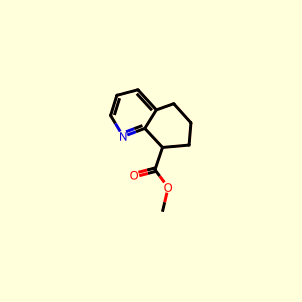 COC(=O)C1CCCc2cccnc21